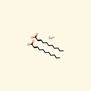 CCCCCCCCC=CC(=O)[O-].CCCCCCCCC=CC(=O)[O-].[Cu+2]